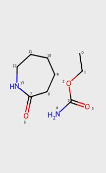 CCOC(N)=O.O=C1CCCCCN1